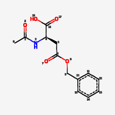 CC(=O)N[C@H](CC(=O)OCc1ccccc1)C(=O)O